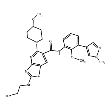 COc1c(NC(=O)c2cc3oc(NCCO)nc3nc2N2CCC(OC)CC2)cccc1-c1cnn(C)c1